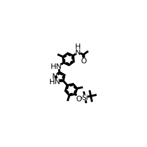 CC(=O)Nc1ccc(Nc2cc(-c3cc(C)c(O[Si](C)(C)C(C)(C)C)c(C)c3)[nH]n2)c(C)c1